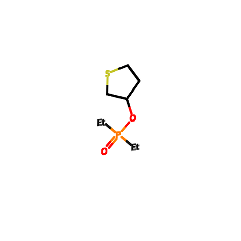 CCP(=O)(CC)OC1CCSC1